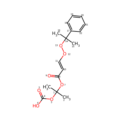 CC(C)(OC(=O)O)OC(=O)C=COOC(C)(C)c1ccccc1